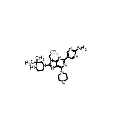 CC1(C)CN(c2nc3c(N4CCOCC4)nc(-c4cnc(N)nc4)nc3n2CC(F)(F)F)CCN1